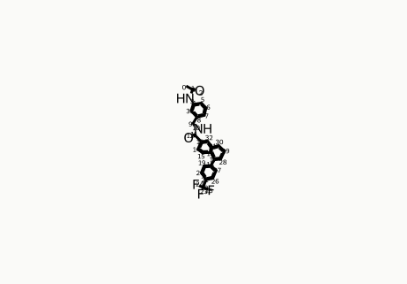 CC(=O)Nc1cccc(CNC(=O)c2ccc3c(-c4ccc(C(F)(F)F)cc4)cccc3c2)c1